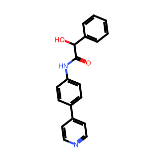 O=C(Nc1ccc(-c2ccncc2)cc1)C(O)c1ccccc1